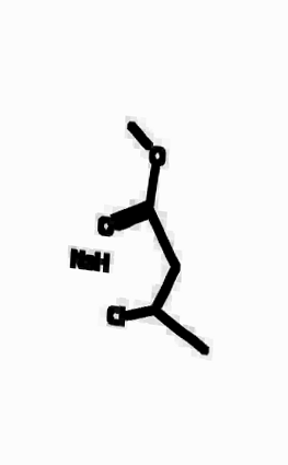 COC(=O)CC(C)Cl.[NaH]